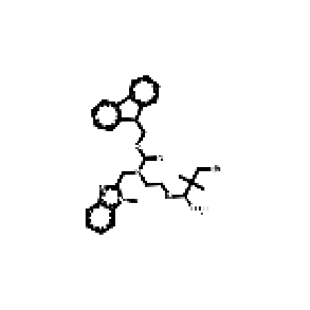 Cn1c(CN(CCN[C@H](C(=O)O)C(C)(C)CC(C)(C)C)C(=O)OCC2c3ccccc3-c3ccccc32)nc2ccccc21